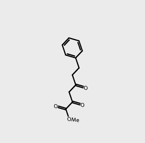 COC(=O)C(=O)CC(=O)CCc1ccccc1